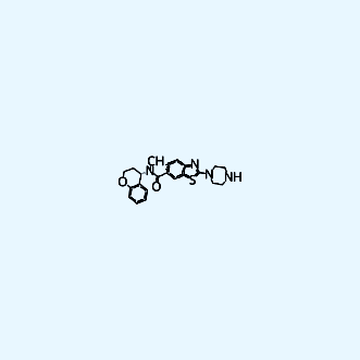 CN(C(=O)c1ccc2nc(N3CCNCC3)sc2c1)[C@H]1CCOc2ccccc21